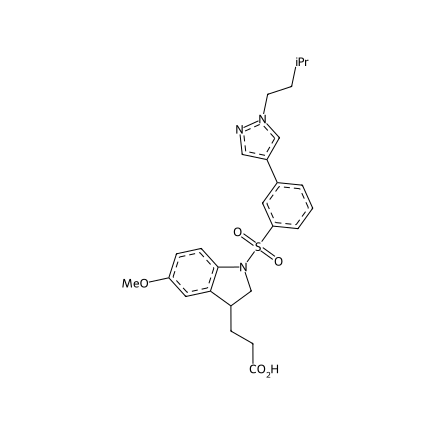 COc1ccc2c(c1)C(CCC(=O)O)CN2S(=O)(=O)c1cccc(-c2cnn(CCC(C)C)c2)c1